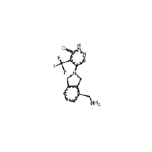 NCc1cccc2c1CN(c1cn[nH]c(=O)c1C(F)(F)F)C2